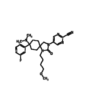 COCCCCN1C(=O)N(c2cnc(C#N)nc2)CC12CCC(c1cccc(F)c1)(N(C)C)CC2